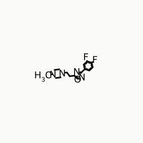 CN1CCN(CCc2nc(-c3ccc(F)c(F)c3)no2)CC1